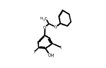 CC(Oc1cc(I)c(O)c(I)c1)OC1CCCCC1